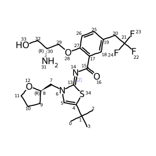 CC(C)(C)c1cn(C[C@H]2CCCO2)/c(=N/C(=O)c2cc(CC(F)(F)F)ccc2OC[C@H](N)CO)s1